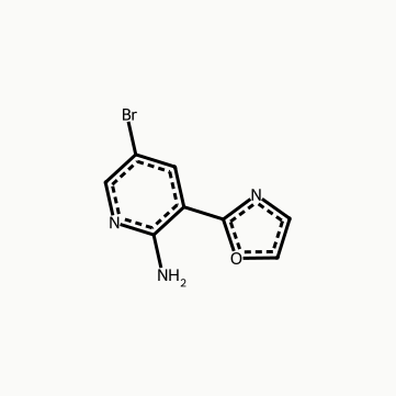 Nc1ncc(Br)cc1-c1ncco1